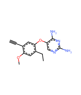 C#Cc1cc(Oc2cnc(N)nc2N)c(CC)cc1OC